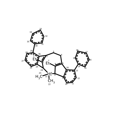 CCC1=C2CCC3=C(CC)[CH](c4cccc(-c5ccccc5)c43)[Hf]([CH3])([CH3])[CH]1c1cccc(-c3ccccc3)c12